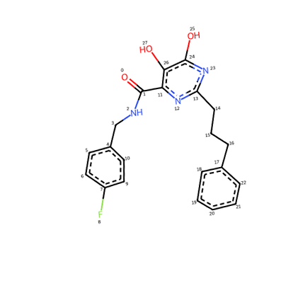 O=C(NCc1ccc(F)cc1)c1nc(CCCc2ccccc2)nc(O)c1O